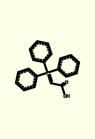 O=C(O)C=P(c1ccccc1)(c1ccccc1)c1ccccc1